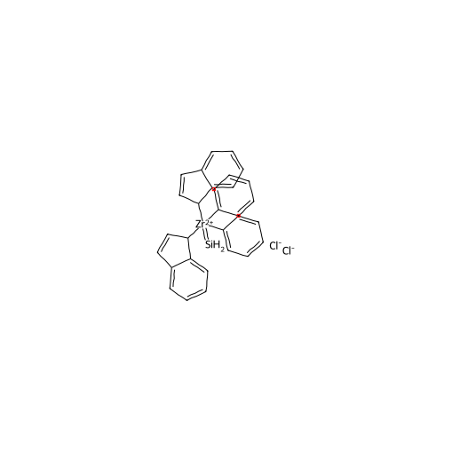 [Cl-].[Cl-].[SiH2]=[Zr+2]([c]1ccccc1)([c]1ccccc1)([CH]1C=Cc2ccccc21)[CH]1C=Cc2ccccc21